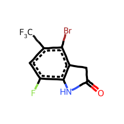 O=C1Cc2c(Br)c(C(F)(F)F)cc(F)c2N1